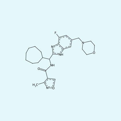 Cc1nocc1C(=O)NC(c1nc2c(F)cc(CN3CCOCC3)cc2[nH]1)C1CCCCCCC1